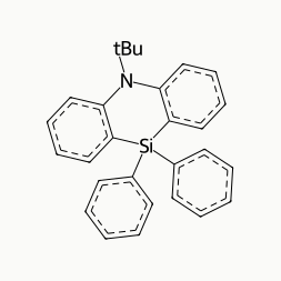 CC(C)(C)N1c2ccccc2[Si](c2ccccc2)(c2ccccc2)c2ccccc21